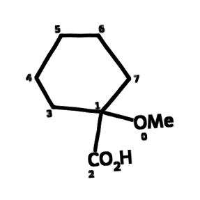 COC1(C(=O)O)CCCCC1